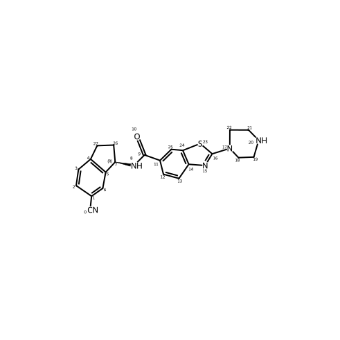 N#Cc1ccc2c(c1)[C@H](NC(=O)c1ccc3nc(N4CCNCC4)sc3c1)CC2